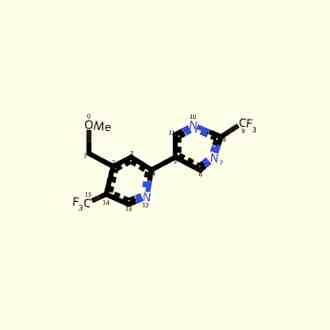 COCc1cc(-c2cnc(C(F)(F)F)nc2)ncc1C(F)(F)F